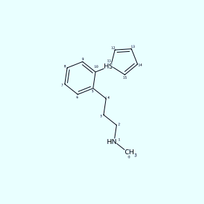 CNCC[CH]c1ccccc1[SH]1C=CC=C1